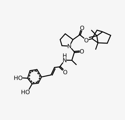 CC(NC(=O)/C=C/c1ccc(O)c(O)c1)C(=O)N1CCCC1C(=O)OC1CC2CCC1(C)C2(C)C